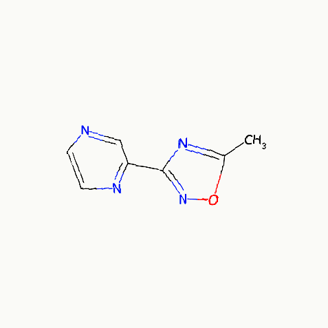 Cc1nc(-c2cnccn2)no1